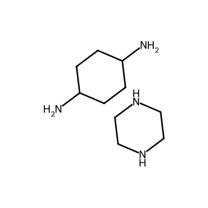 C1CNCCN1.NC1CCC(N)CC1